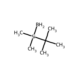 B[Si](C)(C)C(C)(C)C